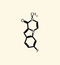 Cn1ccn2c(cc3ccc(F)cc32)c1=O